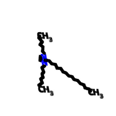 CCCCCCCCCCCCCCCCc1n(CCCCCCC)cc[n+]1CCCCCCCCC